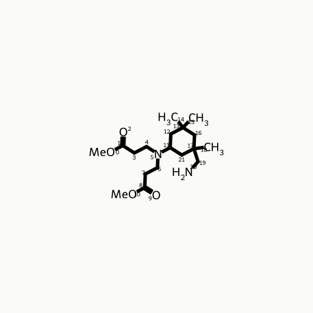 COC(=O)CCN(CCC(=O)OC)C1CC(C)(C)CC(C)(CN)C1